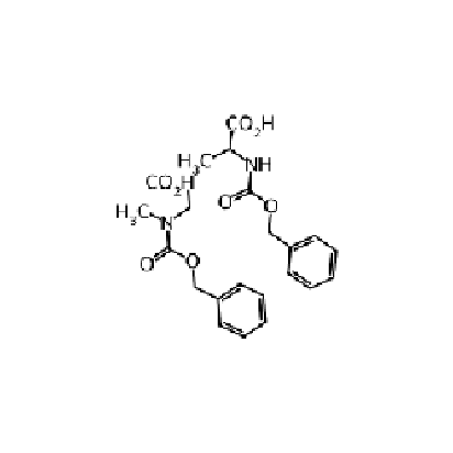 CN(CC(=O)O)C(=O)OCc1ccccc1.C[C@H](NC(=O)OCc1ccccc1)C(=O)O